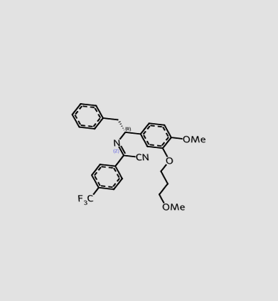 COCCCOc1cc([C@@H](Cc2ccccc2)/N=C(\C#N)c2ccc(C(F)(F)F)cc2)ccc1OC